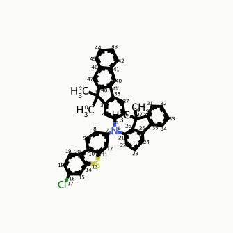 CC1(C)c2cc(N(c3ccc4c(c3)sc3cc(Cl)ccc34)c3cccc4c3C(C)(C)c3ccccc3-4)ccc2-c2cc3ccccc3cc21